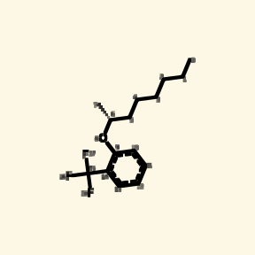 CCCCCC[C@@H](C)Oc1ccccc1C(F)(F)F